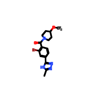 Cc1nnc(-c2ccc(C(=O)N3CCC(OC(F)(F)F)CC3)c(Br)c2)[nH]1